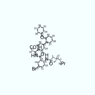 CC(C)CC(C)(C)CC(=O)Nc1ccc(Br)cc1C(=O)NC(CC(=O)O)c1ccc(-c2ccccc2Oc2ccccc2)cc1